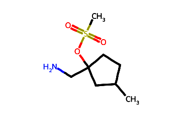 CC1CCC(CN)(OS(C)(=O)=O)C1